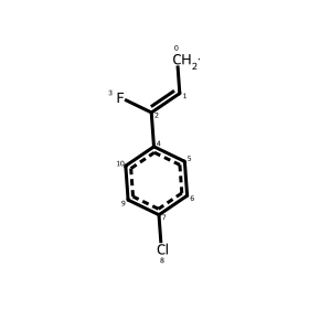 [CH2]/C=C(\F)c1ccc(Cl)cc1